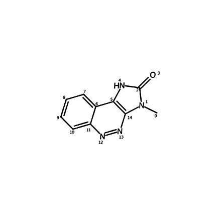 Cn1c(=O)[nH]c2c3ccccc3nnc21